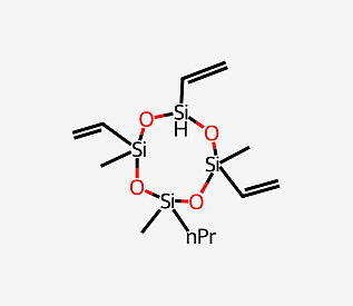 C=C[SiH]1O[Si](C)(C=C)O[Si](C)(CCC)O[Si](C)(C=C)O1